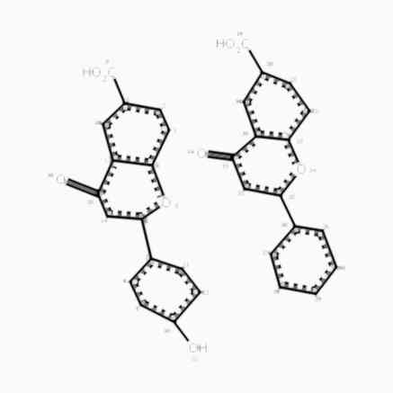 O=C(O)c1ccc2oc(-c3ccc(O)cc3)cc(=O)c2c1.O=C(O)c1ccc2oc(-c3ccccc3)cc(=O)c2c1